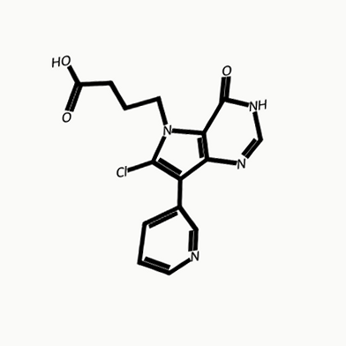 O=C(O)CCCn1c(Cl)c(-c2cccnc2)c2nc[nH]c(=O)c21